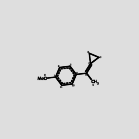 COc1ccc(C(C)=C2CC2)cc1